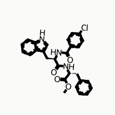 COC(=O)[C@@H](Cc1ccccc1)NC(=O)[C@@H](Cc1c[nH]c2ccccc12)NC(=O)c1ccc(Cl)cc1